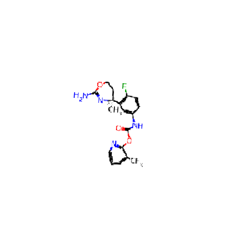 C[C@@]1(c2cc(NC(=O)Oc3ncccc3C(F)(F)F)ccc2F)CCOC(N)=N1